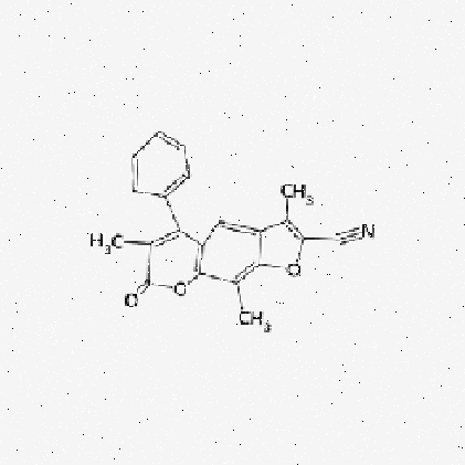 Cc1c(-c2ccccc2)c2cc3c(C)c(C#N)oc3c(C)c2oc1=O